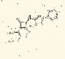 CC(=O)OCC1=C(C(=O)O)N2C(=O)[C@@H](Nc3nc(-c4ccccc4)cs3)[C@H]2SC1